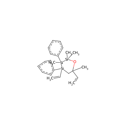 C=CC1(C)C[Si](C=C)(c2ccccc2)[Si](C)(c2ccccc2)[Si](C)(C)O1